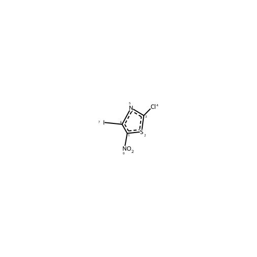 O=[N+]([O-])c1sc(Cl)nc1I